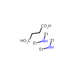 CCNCC.CCNCC.O=C(O)CCC(=O)O